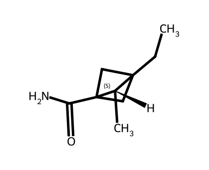 CCC12CC(C(N)=O)(C1)[C@H]2C